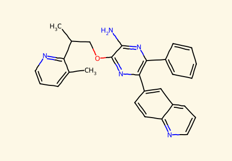 Cc1cccnc1C(C)COc1nc(-c2ccc3ncccc3c2)c(-c2ccccc2)nc1N